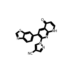 N#Cc1cnn(-c2nc3[nH]ccc(=O)c3cc2-c2ccc3ncsc3c2)c1